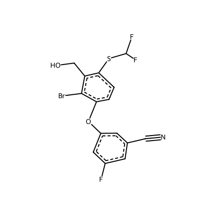 N#Cc1cc(F)cc(Oc2ccc(SC(F)F)c(CO)c2Br)c1